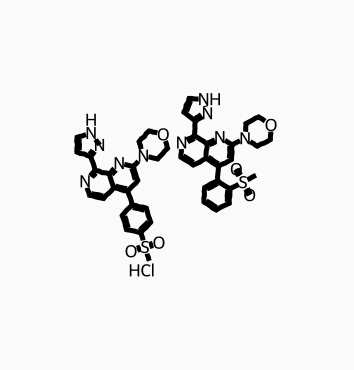 CS(=O)(=O)c1ccc(-c2cc(N3CCOCC3)nc3c(-c4cc[nH]n4)nccc23)cc1.CS(=O)(=O)c1ccccc1-c1cc(N2CCOCC2)nc2c(-c3cc[nH]n3)nccc12.Cl